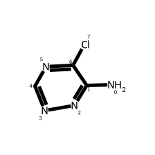 Nc1nncnc1Cl